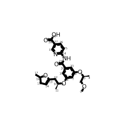 COC[C@H](C)Oc1cc(O[C@@H](C)CC2=CCC(C)O2)cc(C(=O)Nc2ccc(C(=O)O)cn2)c1